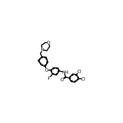 O=C(Nc1ccc(Oc2ccc(CN3CCOCC3)cc2)c(F)c1)c1ccc(Cl)c(Cl)c1